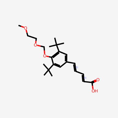 COCCOCOc1c(C(C)(C)C)cc(/C=C/C=C/C(=O)O)cc1C(C)(C)C